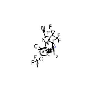 CN(C)/C=N\c1c(C2(C(F)(F)F)CC2(F)F)c(C#N)nn1-c1c(Cl)cc(OC(F)(F)F)cc1Cl